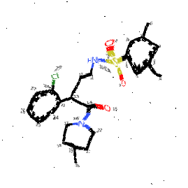 Cc1cc(C)cc(S(=O)(=O)NCCC(C(=O)N2CCC(C)CC2)c2ccccc2Cl)c1